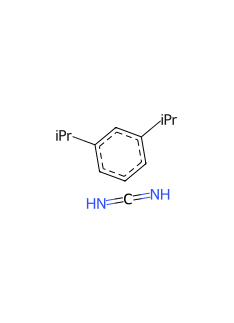 CC(C)c1cccc(C(C)C)c1.N=C=N